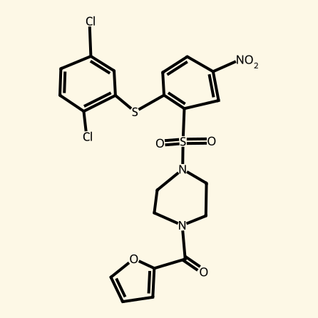 O=C(c1ccco1)N1CCN(S(=O)(=O)c2cc([N+](=O)[O-])ccc2Sc2cc(Cl)ccc2Cl)CC1